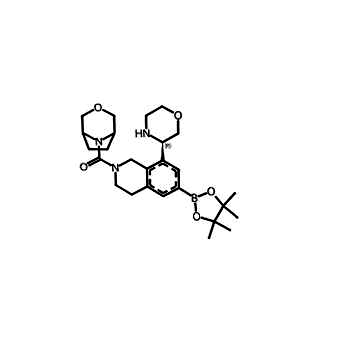 CC1(C)OB(c2cc3c(c([C@@H]4COCCN4)c2)CN(C(=O)N2C4CCC2COC4)CC3)OC1(C)C